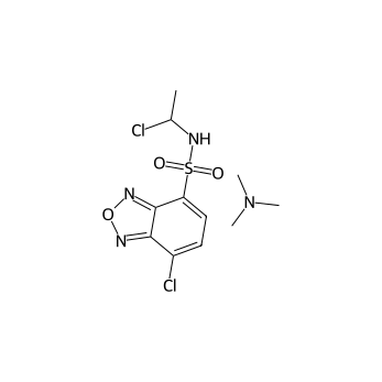 CC(Cl)NS(=O)(=O)c1ccc(Cl)c2nonc12.CN(C)C